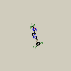 FC(F)(F)c1nc(-c2ccc3nc(CSc4cc(Cl)cc(Cl)c4)cn3c2)no1